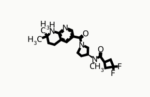 CN(C(=O)C1CC(F)(F)C1)[C@H]1CCN(C(=O)c2cnc3c(c2)CCC(C)(C)N3)C1